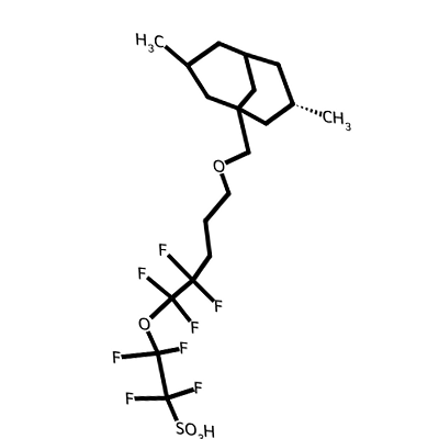 CC1CC2C[C@H](C)CC(COCCCC(F)(F)C(F)(F)OC(F)(F)C(F)(F)S(=O)(=O)O)(C1)C2